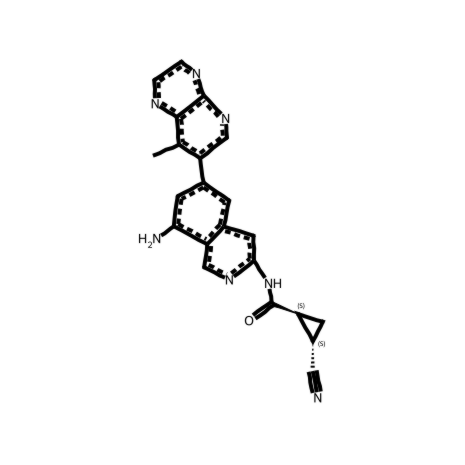 Cc1c(-c2cc(N)c3cnc(NC(=O)[C@H]4C[C@@H]4C#N)cc3c2)cnc2nccnc12